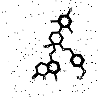 COc1ccc(COC2CN(c3c(F)cc(Cl)cc3F)CCC2(O)COc2ccc(F)c3c2CCC(=O)N3)cc1